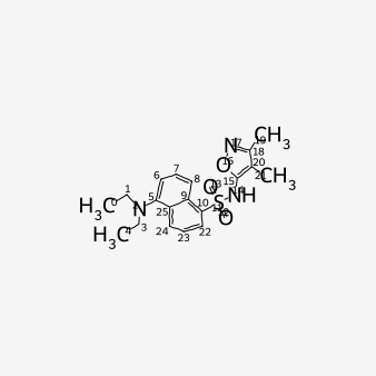 CCN(CC)c1cccc2c(S(=O)(=O)Nc3onc(C)c3C)cccc12